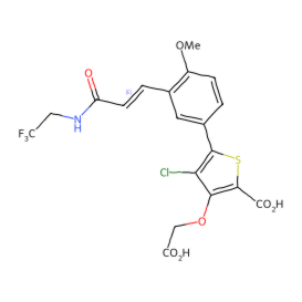 COc1ccc(-c2sc(C(=O)O)c(OCC(=O)O)c2Cl)cc1/C=C/C(=O)NCC(F)(F)F